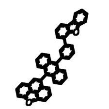 c1cc(-c2c3ccccc3c(-c3cc4cccc5oc6cccc3c6c45)c3ccccc23)cc(-c2cccc3c2oc2ccccc23)c1